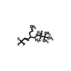 CSC[C@@H](CO[Si](C)(C)C(C)(C)C)/N=C/C(F)(F)F